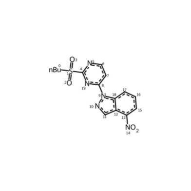 CCCCS(=O)(=O)c1nccc(-n2ncc3c([N+](=O)[O-])cccc32)n1